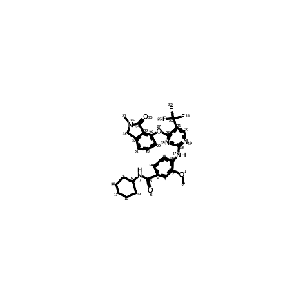 COc1cc(C(=O)NC2CCCCC2)ccc1Nc1ncc(C(F)(F)F)c(Oc2cccc3c2C(=O)N(C)C3)n1